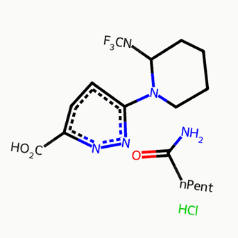 CCCCCC(N)=O.Cl.O=C(O)c1ccc(N2CCCCC2NC(F)(F)F)nn1